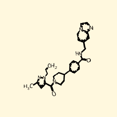 C=CCn1nc(C)cc1C(=O)N1CCC(c2ccc(C(=O)NCc3ccn4ccnc4c3)cc2)CC1